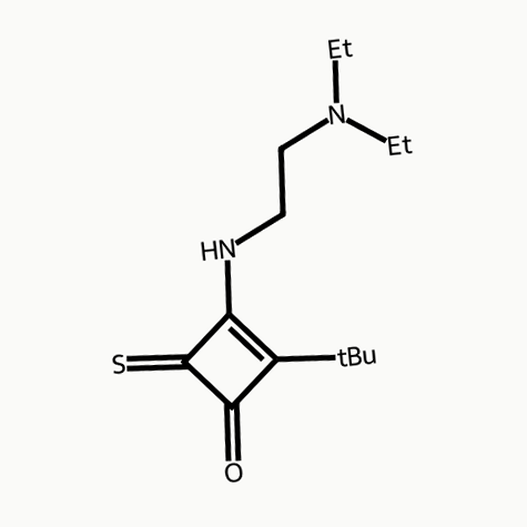 CCN(CC)CCNc1c(C(C)(C)C)c(=O)c1=S